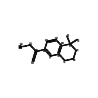 CC1(C)CCCc2cc(C(=O)CBr)ccc21